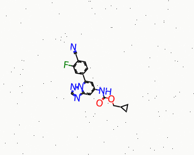 N#Cc1ccc(-c2cc(NC(=O)OCC3CC3)cc3ncnn23)cc1F